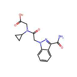 NC(=O)c1nn(CC(=O)N(CC(=O)O)C2CC2)c2ccccc12